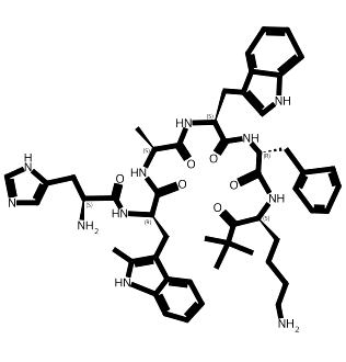 Cc1[nH]c2ccccc2c1C[C@@H](NC(=O)[C@@H](N)Cc1cnc[nH]1)C(=O)N[C@@H](C)C(=O)N[C@@H](Cc1c[nH]c2ccccc12)C(=O)N[C@H](Cc1ccccc1)C(=O)N[C@@H](CCCCN)C(=O)C(C)(C)C